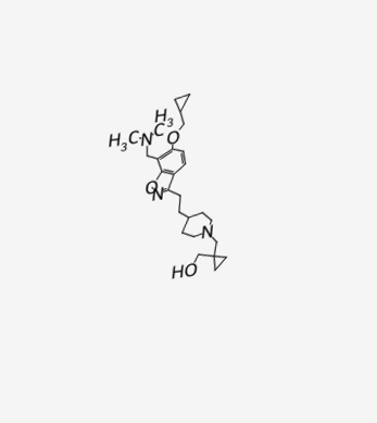 CN(C)Cc1c(OCC2CC2)ccc2c(CCC3CCN(CC4(CO)CC4)CC3)noc12